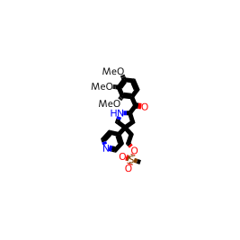 COc1ccc(C(=O)C2CC(CCOS(C)(=O)=O)(c3ccncc3)CN2)c(OC)c1OC